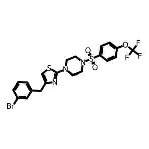 O=S(=O)(c1ccc(OC(F)(F)F)cc1)N1CCN(c2nc(Cc3cccc(Br)c3)cs2)CC1